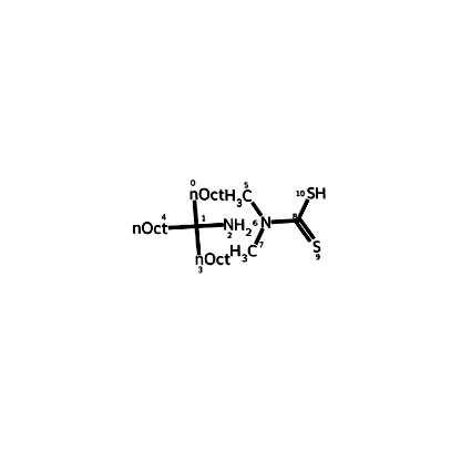 CCCCCCCCC(N)(CCCCCCCC)CCCCCCCC.CN(C)C(=S)S